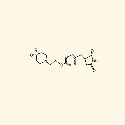 O=C1NC(=O)C(Cc2ccc(OCCN3CCS(=O)(=O)CC3)cc2)S1